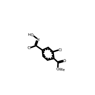 COC(=O)c1ccc(C(Cl)=NO)cc1Cl